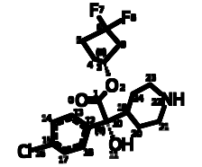 O=C(O[C@@H]1CCC(F)(F)C1)[C@](O)(c1ccc(Cl)cc1)C1CCNCC1